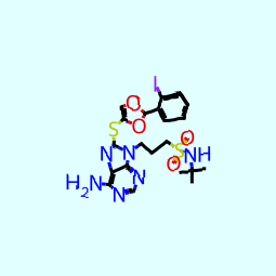 CC(C)(C)NS(=O)(=O)CCCn1c(SC2=COC(c3ccccc3I)O2)nc2c(N)ncnc21